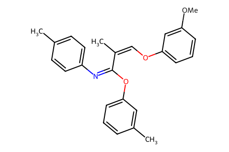 COc1cccc(OC=C(C)C(=Nc2ccc(C)cc2)Oc2cccc(C)c2)c1